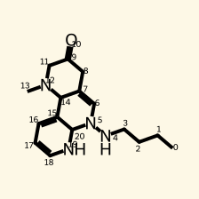 CCCCNN1C=C2CC(=O)CN(C)C2C2=CC=CNC21